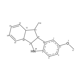 COc1ccc2c(c1)C1C(C)C3C=CC=CC3C1N2